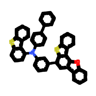 c1ccc(-c2ccc(N(c3cccc(-c4cc5c6ccccc6oc5c5c4sc4ccccc45)c3)c3cccc4sc5ccccc5c34)cc2)cc1